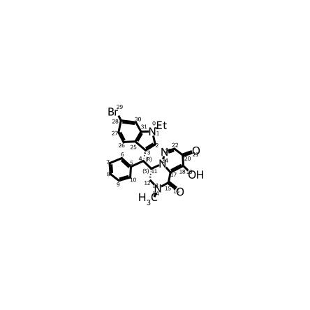 CCn1cc([C@@H](c2ccccc2)[C@H]2CN(C)C(=O)c3c(O)c(=O)cnn32)c2ccc(Br)cc21